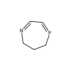 C1=NCCCP=C1